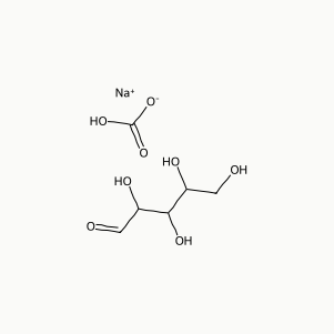 O=C([O-])O.O=CC(O)C(O)C(O)CO.[Na+]